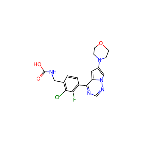 O=C(O)NCc1ccc(-c2ncnn3cc(N4CCOCC4)cc23)c(F)c1Cl